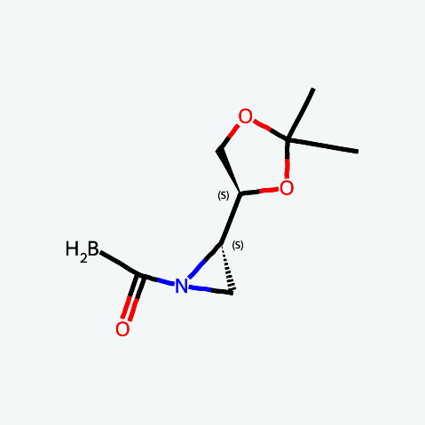 BC(=O)N1C[C@H]1[C@H]1COC(C)(C)O1